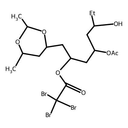 CCC(O)CC(CC(CC1CC(C)OC(C)O1)OC(=O)C(Br)(Br)Br)OC(C)=O